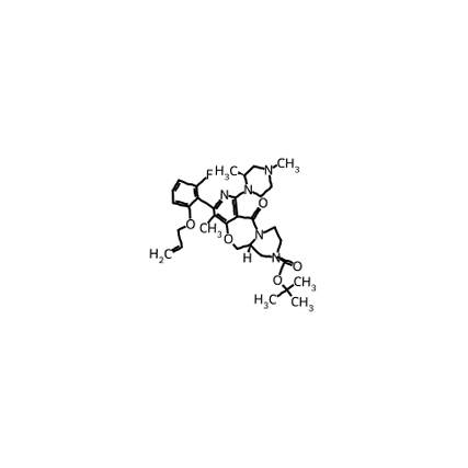 C=CCOc1cccc(F)c1-c1nc(N2CCN(C)C[C@@H]2C)c2c(c1C)OC[C@H]1CN(C(=O)OC(C)(C)C)CCN1C2=O